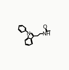 CC(=O)NCCc1cn(-c2ccccc2)c2ccccc12